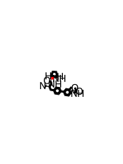 N#C[C@H](Cc1ccc(-c2ccc3c(c2)COC(=O)N3)cc1)NC(=O)[C@H]1N[C@@H]2CC[C@H]1C2